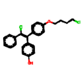 Oc1ccc(/C(=C(/Cl)c2ccccc2)c2ccc(OCCCCCl)cc2)cc1